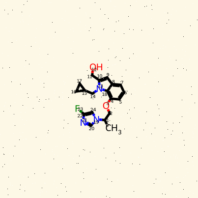 CC(COc1cccc2cc(CO)n(CC3CC3)c12)n1cnc(F)c1